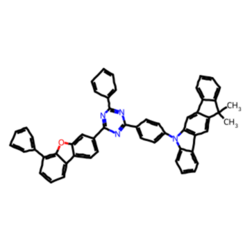 CC1(C)c2ccccc2-c2cc3c(cc21)c1ccccc1n3-c1ccc(-c2nc(-c3ccccc3)nc(-c3ccc4c(c3)oc3c(-c5ccccc5)cccc34)n2)cc1